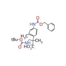 Cc1cc(NC(=O)OCc2ccccc2)ccc1C(C)(CNC(=O)OC(C)(C)C)CC(=O)O